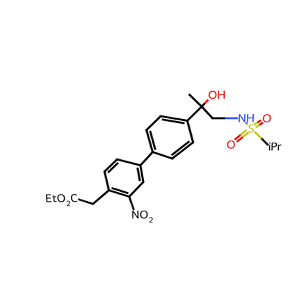 CCOC(=O)Cc1ccc(-c2ccc(C(C)(O)CNS(=O)(=O)C(C)C)cc2)cc1[N+](=O)[O-]